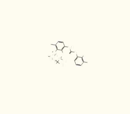 CN(C)S(=O)(=O)c1c(Cl)ccc(NC(=S)Nc2cccc(F)c2Cl)c1O[Si](C)(C)C(C)(C)C